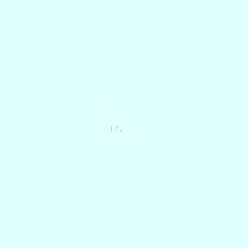 Oc1c[c]ccc1C1Nc2ccccc2S1